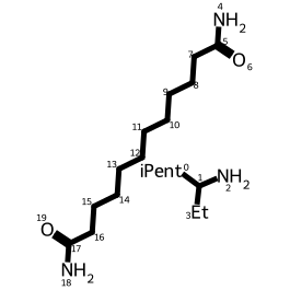 CCCC(C)C(N)CC.NC(=O)CCCCCCCCCCC(N)=O